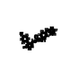 Cn1ncc(C=CC(=O)Nc2ccc(Cn3nccn3)cc2)c1-c1ccc(F)cc1